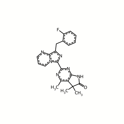 Cc1nc(-c2nc(Cc3ccccc3F)c3ncccn23)nc2c1C(C)(C)C(=O)N2